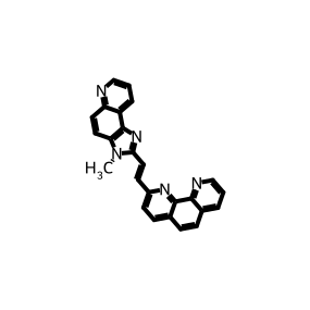 Cn1c(C=Cc2ccc3ccc4cccnc4c3n2)nc2c3cccnc3ccc21